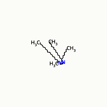 CCCCCCCCCCCCCCCCC(C)n1ccnc1C(CCCCCCC)CCCCCCCCCCCC